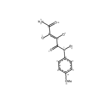 CCN(C(=O)C(Cl)=C(Cl)C(N)=O)c1ccc(OC)cc1